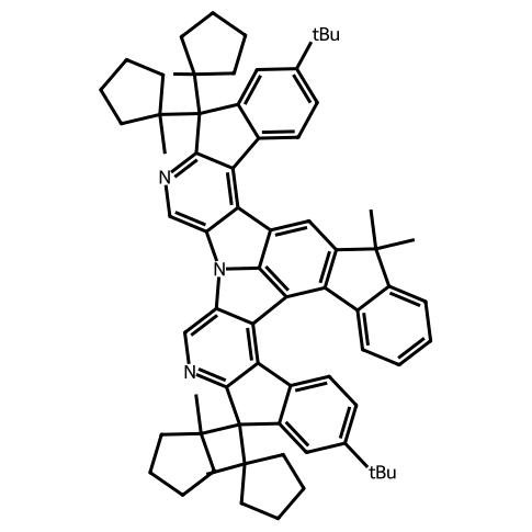 CC(C)(C)c1ccc2c(c1)C(C1(C)CCCC1)(C1(C)CCCC1)c1ncc3c(c1-2)c1cc2c(c4c5c6c(ncc5n3c14)C(C1(C)CCCC1)(C1(C)CCCC1)c1cc(C(C)(C)C)ccc1-6)-c1ccccc1C2(C)C